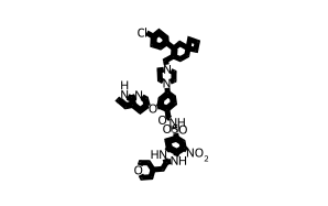 O=C(NS(=O)(=O)c1cc2c(c([N+](=O)[O-])c1)NC(CC1CCOCC1)N2)c1ccc(N2CCN(CC3=C(c4ccc(Cl)cc4)CC4(CCC4)CC3)CC2)cc1Oc1cnc2[nH]ccc2c1